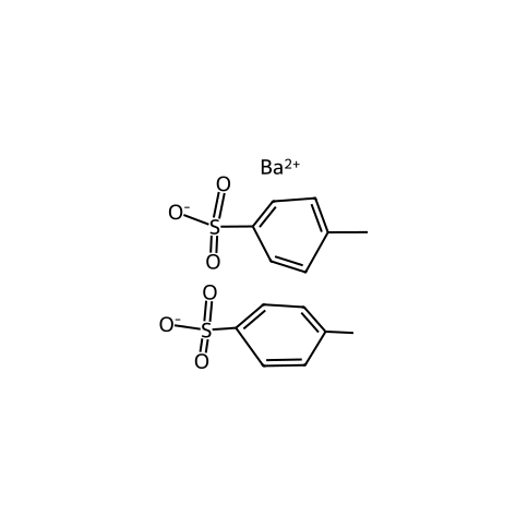 Cc1ccc(S(=O)(=O)[O-])cc1.Cc1ccc(S(=O)(=O)[O-])cc1.[Ba+2]